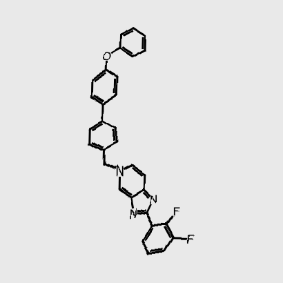 Fc1cccc(-c2nc3ccn(Cc4ccc(-c5ccc(Oc6ccccc6)cc5)cc4)cc-3n2)c1F